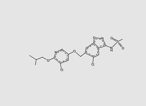 CC(C)COc1ncc(OCc2cc3onc(NS(C)(=O)=O)c3cc2Cl)cc1Cl